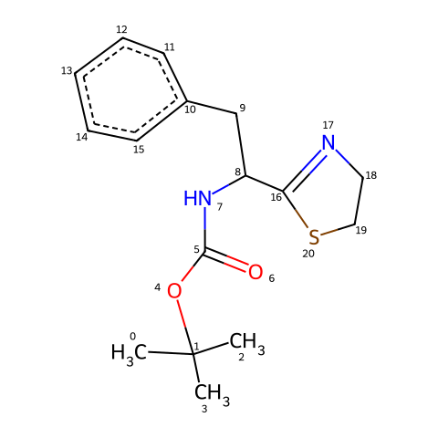 CC(C)(C)OC(=O)NC(Cc1ccccc1)C1=NCCS1